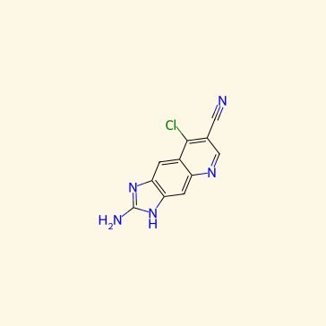 N#Cc1cnc2cc3[nH]c(N)nc3cc2c1Cl